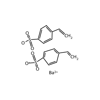 C=Cc1ccc(S(=O)(=O)[O-])cc1.C=Cc1ccc(S(=O)(=O)[O-])cc1.[Ba+2]